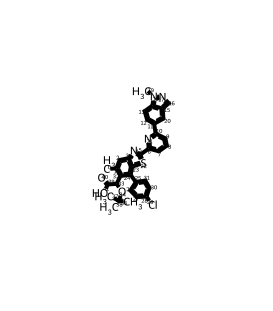 Cc1cc2nc(-c3cccc(-c4ccc5c(cnn5C)c4)n3)sc2c(-c2ccc(Cl)cc2)c1C(OC(C)(C)C)C(=O)O